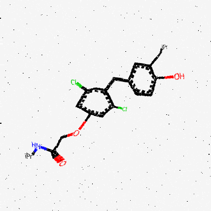 CC(C)NC(=O)COc1cc(Cl)c(Cc2ccc(O)c(C(C)C)c2)c(Cl)c1